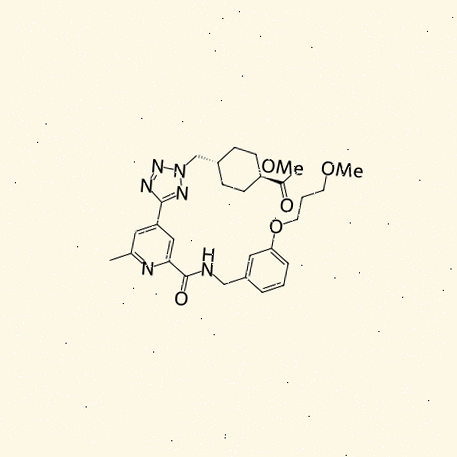 COCCCOc1cccc(CNC(=O)c2cc(-c3nnn(C[C@H]4CC[C@H](C(=O)OC)CC4)n3)cc(C)n2)c1